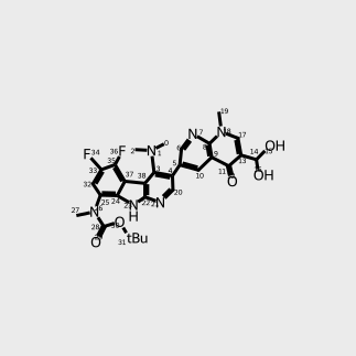 CN(C)c1c(-c2cnc3c(c2)c(=O)c(C(O)O)cn3C)cnc2[nH]c3c(N(C)C(=O)OC(C)(C)C)cc(F)c(F)c3c12